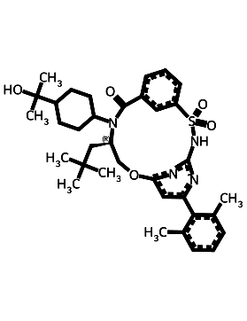 Cc1cccc(C)c1-c1cc2nc(n1)NS(=O)(=O)c1cccc(c1)C(=O)N(C1CCC(C(C)(C)O)CC1)[C@H](CC(C)(C)C)CO2